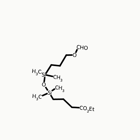 CCOC(=O)CCC[Si](C)(C)O[Si](C)(C)CCCOC=O